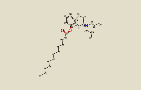 CCCCCCCCCCCCC(=O)Oc1cccc2c1CC(N(CCC)CCC)CC2